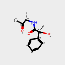 CCC(=O)[C@H](C)NC(=O)[C@@](C)(O)c1ccccc1